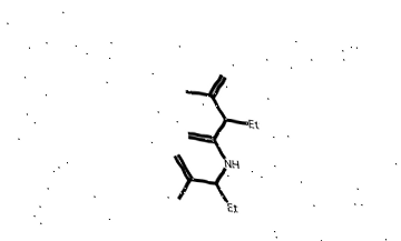 C=C(C)C(CC)NC(=C)C(CC)C(=C)C